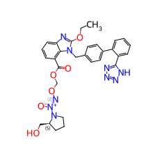 CCOc1nc2cccc(C(=O)OCO/N=[N+](\[O-])N3CCC[C@H]3CO)c2n1Cc1ccc(-c2ccccc2-c2nnn[nH]2)cc1